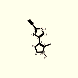 C#Cc1nc(C2=C(C)[C@@H](C)CC2)cs1